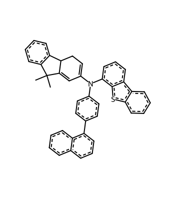 CC1(C)C2=CC(N(c3ccc(-c4cccc5ccccc45)cc3)c3cccc4c3sc3ccccc34)=CCC2c2ccccc21